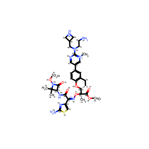 C[n+]1cc(-c2ccc3c(c2)CC[C@H]([C@](C)(O/N=C(\C(=O)N[C@@H]2C(=O)N(OS(=O)(=O)O)C2(C)C)c2csc(N)n2)C(=O)OC=O)O3)cnc1N(CCN)CC1CNC1